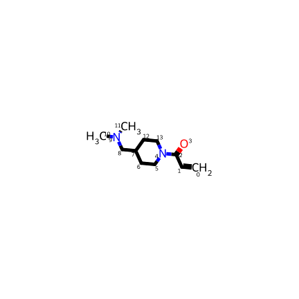 C=CC(=O)N1CCC(CN(C)C)CC1